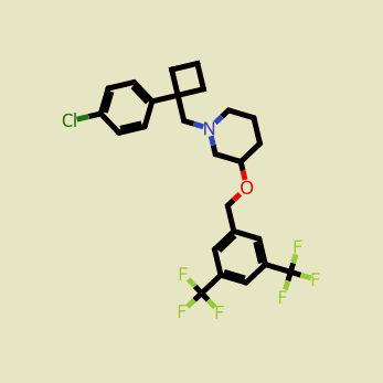 FC(F)(F)c1cc(COC2CCCN(CC3(c4ccc(Cl)cc4)CCC3)C2)cc(C(F)(F)F)c1